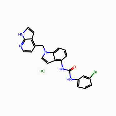 Cl.O=C(Nc1cccc(Br)c1)Nc1cccc2c1ccn2Cc1ccnc2[nH]ccc12